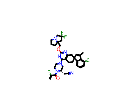 C=C(F)C(=O)N1CCN(c2nc(OCC34CCCN3CC(F)(F)C4)nc3c2CCC2(C=C(C)c4c(Cl)cccc42)C3)C[C@@H]1CC#N